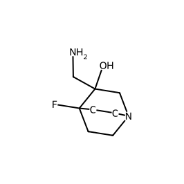 NCC1(O)CN2CCC1(F)CC2